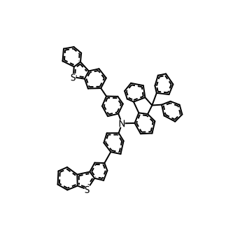 c1ccc(C2(c3ccccc3)c3ccccc3-c3c(N(c4ccc(-c5ccc6c(c5)sc5ccccc56)cc4)c4ccc(-c5ccc6sc7ccccc7c6c5)cc4)cccc32)cc1